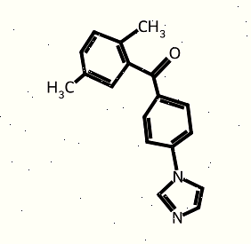 Cc1ccc(C)c(C(=O)c2ccc(-n3ccnc3)cc2)c1